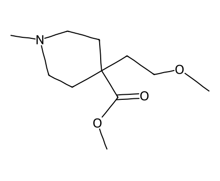 COCCC1(C(=O)OC)CCN(C)CC1